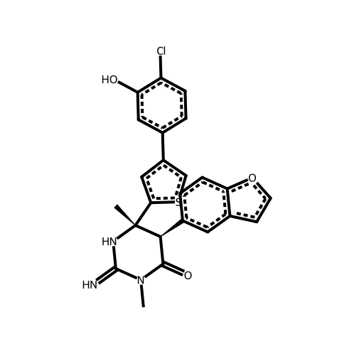 CN1C(=N)N[C@](C)(c2cc(-c3ccc(Cl)c(O)c3)cs2)[C@@H](c2ccc3occc3c2)C1=O